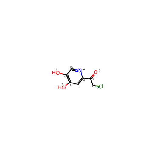 O=C(CCl)c1cc(O)c(O)cn1